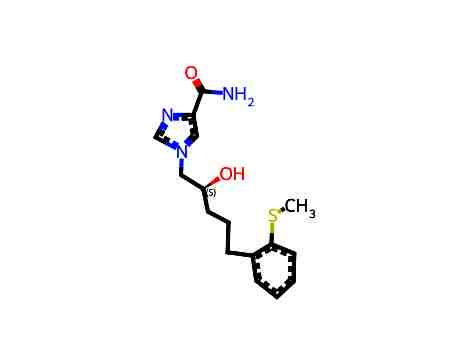 CSc1ccccc1CCC[C@H](O)Cn1cnc(C(N)=O)c1